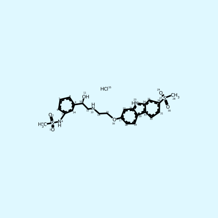 CS(=O)(=O)Nc1cccc([C@@H](O)CNCCOc2ccc3c(c2)[nH]c2cc(S(C)(=O)=O)ccc23)c1.Cl